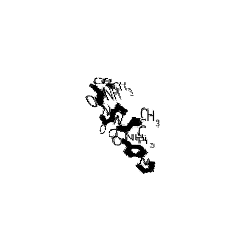 CCC(NC(C)=O)C(=O)N1CC(=O)C2C1CCN2C(=O)C(CC(C)C)NC(=O)c1ccc(N2CCCC2)cc1